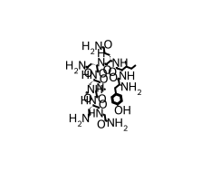 CC[C@H](C)[C@H](NC(=O)[C@@H](N)Cc1ccc(O)cc1)C(=O)N[C@@H](CCC(N)=O)C(=O)N[C@@H](CC(N)=O)C(=O)N[C@@H](CNC=O)C(=O)N(C)CC(=O)N[C@@H](CCN)C(=O)NCC(N)=O